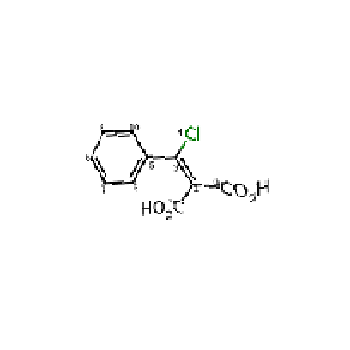 O=C(O)C(C(=O)O)=C(Cl)c1ccccc1